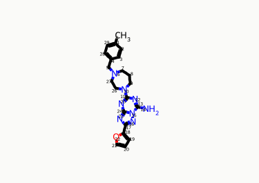 Cc1ccc(CN2CCCN(c3nc(N)n4nc(-c5ccco5)nc4n3)CC2)cc1